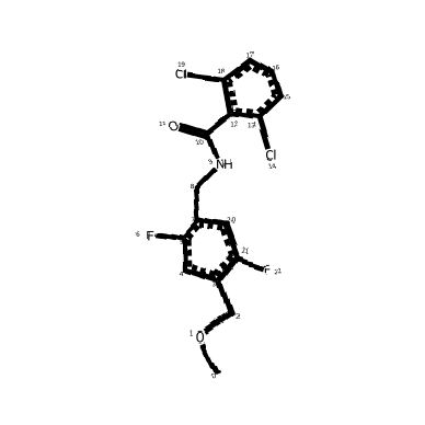 COCc1cc(F)c(CNC(=O)c2c(Cl)cccc2Cl)cc1F